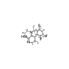 Cc1cnc2c(c1)N(C(C)c1cc(F)c(F)cc1F)CCN2